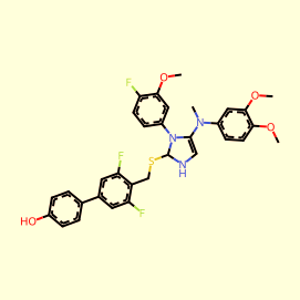 COc1cc(N2C(N(C)c3ccc(OC)c(OC)c3)=CNC2SCc2c(F)cc(-c3ccc(O)cc3)cc2F)ccc1F